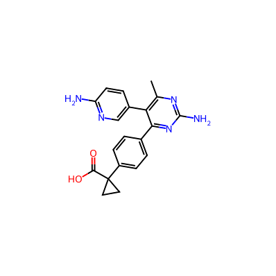 Cc1nc(N)nc(-c2ccc(C3(C(=O)O)CC3)cc2)c1-c1ccc(N)nc1